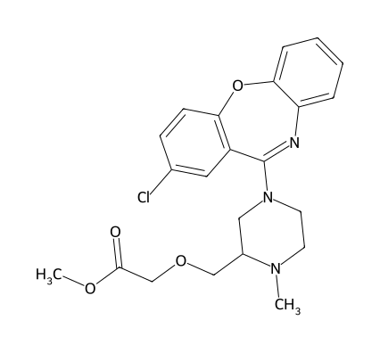 COC(=O)COCC1CN(C2=Nc3ccccc3Oc3ccc(Cl)cc32)CCN1C